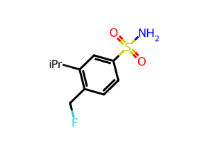 CC(C)c1cc(S(N)(=O)=O)ccc1CF